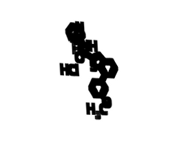 COc1cccc(-c2cccc3cc(C(=O)N[C@H]4CN5CCC4CC5)sc23)c1.Cl